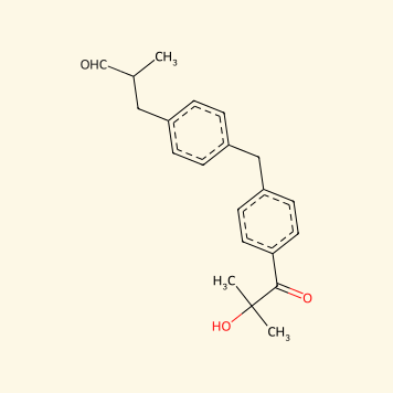 CC(C=O)Cc1ccc(Cc2ccc(C(=O)C(C)(C)O)cc2)cc1